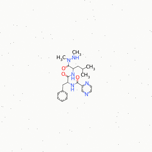 CNN(C)C(=O)C(CC(C)C)NC(=O)C(Cc1ccccc1)NC(=O)c1cnccn1